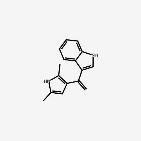 C=C(c1cc(C)[nH]c1C)c1c[nH]c2ccccc12